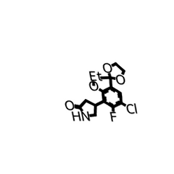 CCOc1c(C2(C)OCCO2)cc(Cl)c(F)c1C1CNC(=O)C1